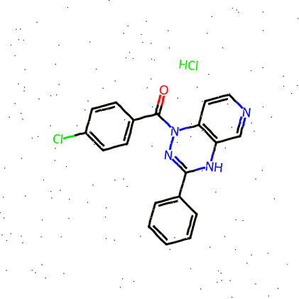 Cl.O=C(c1ccc(Cl)cc1)N1N=C(c2ccccc2)Nc2cnccc21